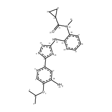 CC(C)Oc1cnc(-c2nsc(Nc3ncccc3N(C)C(=O)C3CC3)n2)cc1N